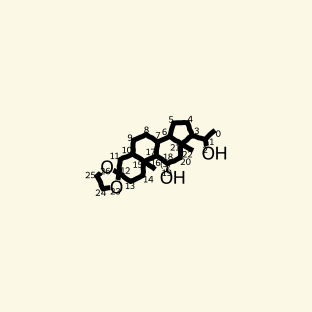 CC(O)C1CCC2C3CCC4CC5(CCC4(C)C3[C@@H](O)CC12C)OCCO5